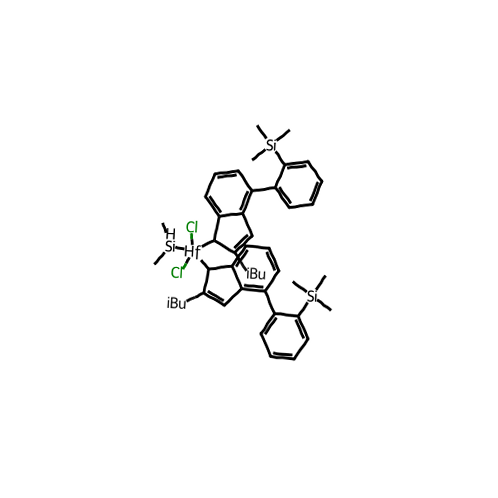 CCC(C)C1=Cc2c(-c3ccccc3[Si](C)(C)C)cccc2[CH]1[Hf]([Cl])([Cl])([CH]1C(C(C)CC)=Cc2c(-c3ccccc3[Si](C)(C)C)cccc21)[SiH](C)C